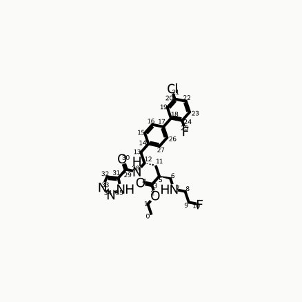 CCOC(=O)[C@H](CNCCF)C[C@@H](Cc1ccc(-c2cc(Cl)ccc2F)cc1)NC(=O)c1cnn[nH]1